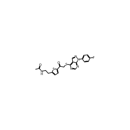 CC(=O)NCCc1ccc(C(=O)CSc2ncnc3c2cnn3-c2ccc(F)cc2)s1